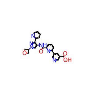 O=C(O)c1cncc(-c2cccc(C(=O)Nc3cn(C4COC4)nc3-c3ccccn3)n2)c1